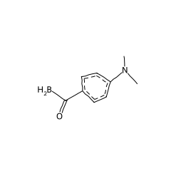 BC(=O)c1ccc(N(C)C)cc1